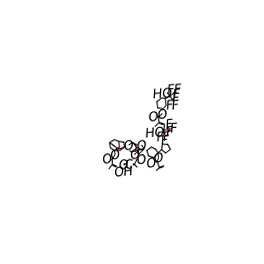 C=C(C)C(=O)OC1(C2CCCC2)CCCCC1.CC(=C=O)C(=O)OC1C2CC3COC1C3O2.CC(=CC(O)(C(F)(F)F)C(F)(F)F)C(=O)OC1CCCC(C(O)(C(F)(F)F)C(F)(F)F)C1.CC(=CO)C(=O)OC12CC3CC(CC(C3)C1)C2